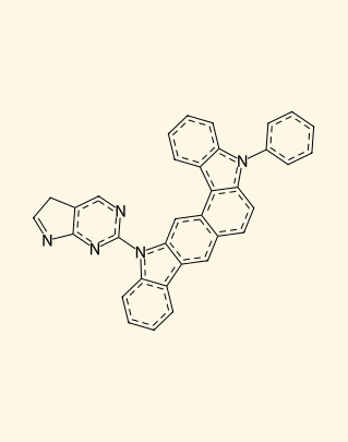 C1=Nc2nc(-n3c4ccccc4c4cc5ccc6c(c5cc43)c3ccccc3n6-c3ccccc3)ncc2C1